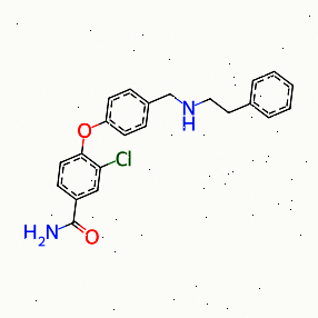 NC(=O)c1ccc(Oc2ccc(CNCCc3ccccc3)cc2)c(Cl)c1